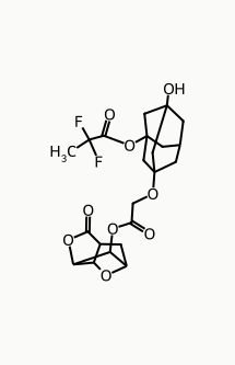 CC(F)(F)C(=O)OC12CC3CC(O)(CC(OCC(=O)OC4C5CC6C(=O)OC4C6O5)(C3)C1)C2